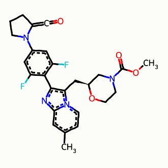 COC(=O)N1CCO[C@@H](Cc2c(-c3c(F)cc(N4CCCC4=C=O)cc3F)nc3cc(C)ccn23)C1